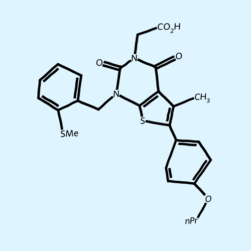 CCCOc1ccc(-c2sc3c(c2C)c(=O)n(CC(=O)O)c(=O)n3Cc2ccccc2SC)cc1